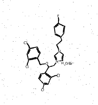 Fc1ccc(CCn2cc[n+](CC(OCc3ccc(Cl)cc3Cl)c3ccc(Cl)cc3Cl)c2)cc1.O.[Br-]